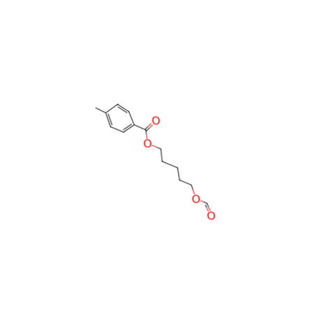 Cc1ccc(C(=O)OCCCCCOC=O)cc1